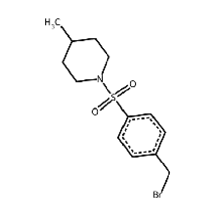 CC1CCN(S(=O)(=O)c2ccc(CBr)cc2)CC1